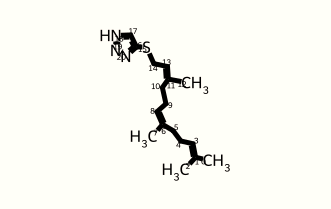 CC(C)=CCCC(C)=CCCC(C)=CCSc1c[nH]nn1